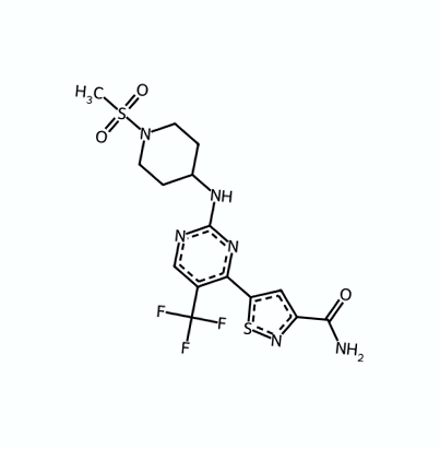 CS(=O)(=O)N1CCC(Nc2ncc(C(F)(F)F)c(-c3cc(C(N)=O)ns3)n2)CC1